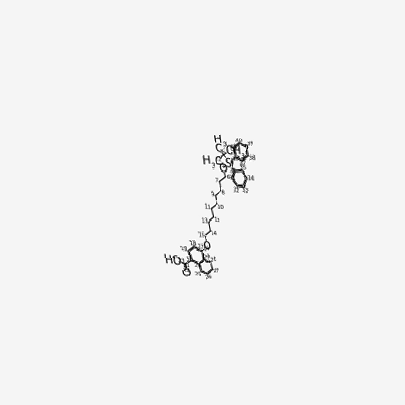 CC(C)(C)[Si](OCCCCCCCCCCOc1ccc(C(=O)O)c2ccccc12)(c1ccccc1)c1ccccc1